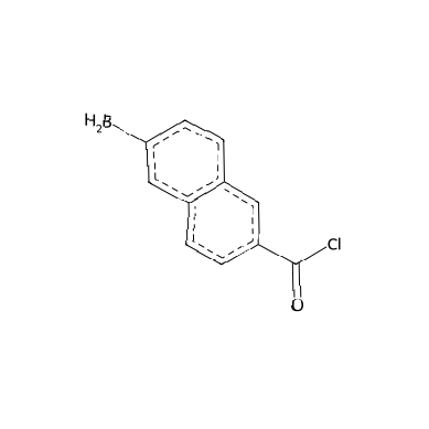 Bc1ccc2cc(C(=O)Cl)ccc2c1